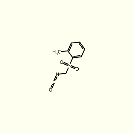 Cc1ccccc1S(=O)(=O)CN=C=O